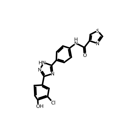 O=C(Nc1ccc(-c2nc(-c3ccc(O)c(Cl)c3)n[nH]2)cc1)c1cscn1